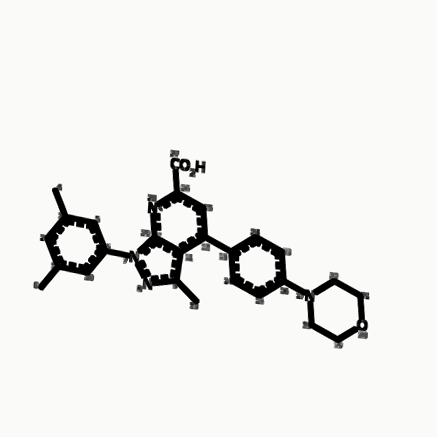 Cc1cc(C)cc(-n2nc(C)c3c(-c4ccc(N5CCOCC5)cc4)cc(C(=O)O)nc32)c1